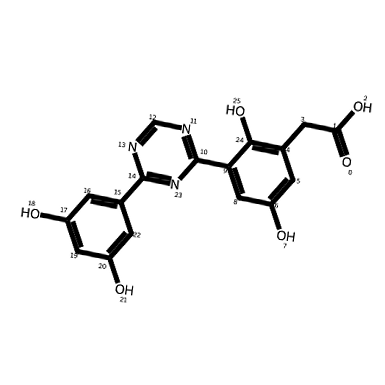 O=C(O)Cc1cc(O)cc(-c2ncnc(-c3cc(O)cc(O)c3)n2)c1O